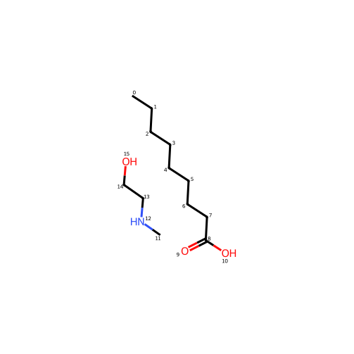 CCCCCCCCC(=O)O.CNCCO